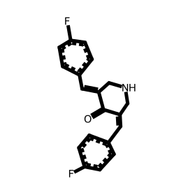 O=C1C(=Cc2ccc(F)cc2)CNCC1=Cc1ccc(F)cc1